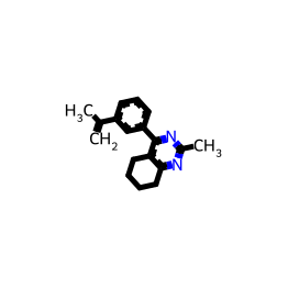 C=C(C)c1cccc(-c2nc(C)nc3c2CCCC3)c1